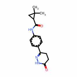 CC1(C)CC1C(=O)Nc1ccc(C2=NNC(=O)CC2)cc1